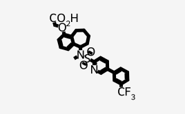 CN(C1CCCCc2c(OCC(=O)O)cccc21)S(=O)(=O)c1ccc(-c2cccc(C(F)(F)F)c2)cn1